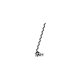 CCCCCCCCCCCCCCCCc1[c]n[nH]c1